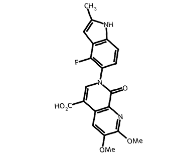 COc1cc2c(C(=O)O)cn(-c3ccc4[nH]c(C)cc4c3F)c(=O)c2nc1OC